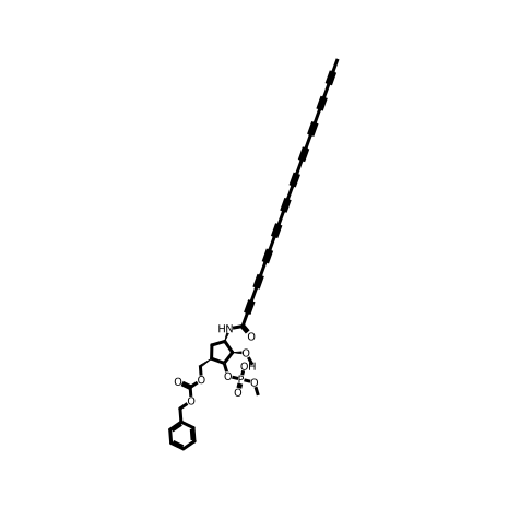 CC#CC#CC#CC#CC#CC#CC#CC#CC#CC#CC(=O)N[C@@H]1C[C@H](COC(=O)OCc2ccccc2)C(OP(=O)(O)OC)[C@@H]1OC